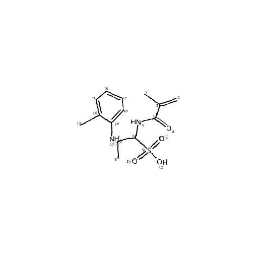 C=C(C)C(=O)NC(CC)S(=O)(=O)O.Cc1ccccc1N